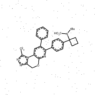 CC(C)(C)N(C(=O)O)C1(c2ccc(-c3nc4c(cc3-c3ccccc3)-n3c(nnc3C(F)(F)F)CO4)cc2)CCC1